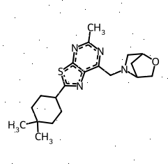 Cc1nc(CN2CC3CC2CO3)c2nc(C3CCC(C)(C)CC3)sc2n1